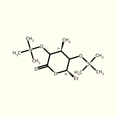 CC[C@H]1OC(=O)C(O[Si](C)(C)C)[C@@H](C)C1O[Si](C)(C)C